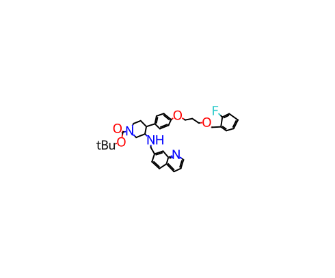 CC(C)(C)OC(=O)N1CCC(c2ccc(OCCCOCc3ccccc3F)cc2)C(NCc2ccc3cccnc3c2)C1